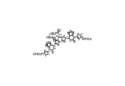 CCCCCCc1ccc(-c2c(F)cc(-c3cc4c(s3)-c3sc(-c5cc(F)c(-c6ccc(CCCCCC)s6)c6nsnc56)cc3C4(CC(CC)CCCC)CC(CC)CCCC)c3nsnc23)s1